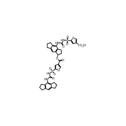 CCOC(=O)c1coc(S(=O)(=O)NC(=O)Nc2c3c(cc4c2CCC4OC(=O)c2coc(S(=O)(=O)NC(=O)Nc4c5c(cc6c4CCC6)CCC5)c2)CCC3)c1